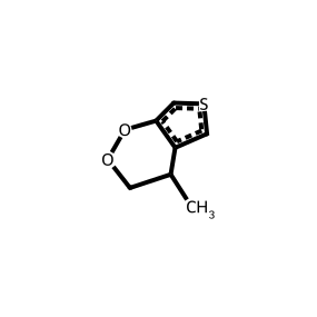 CC1COOc2cscc21